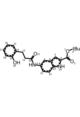 CC(C)(C)OC(=O)c1cc2cc(NC(=O)CCc3ccccc3O)ccc2[nH]1